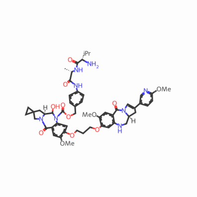 COc1ccc(C2=CN3C(=O)c4cc(OC)c(OCCCOc5cc6c(cc5OC)C(=O)N5CC7(CC7)C[C@H]5C(O)N6C(=O)OCc5ccc(NC(=O)[C@H](C)NC(=O)[C@@H](N)C(C)C)cc5)cc4NC[C@@H]3C2)cn1